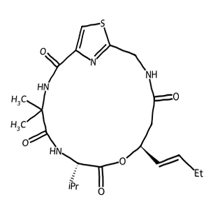 CC/C=C/[C@@H]1CC(=O)NCc2nc(cs2)C(=O)NC(C)(C)C(=O)N[C@@H](C(C)C)C(=O)O1